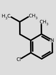 Cc1nccc(Cl)c1CC(C)C